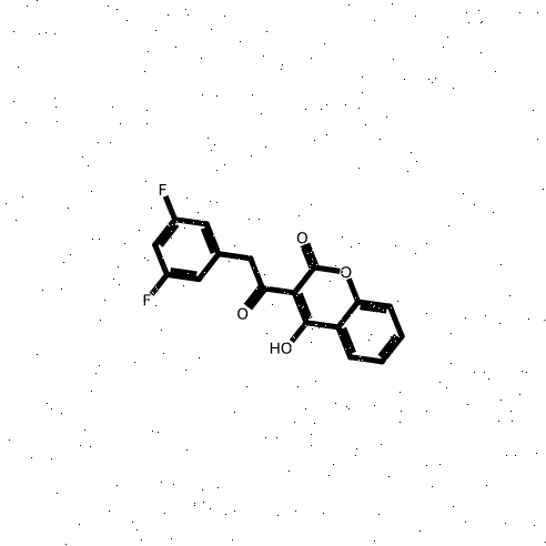 O=C(Cc1cc(F)cc(F)c1)c1c(O)c2ccccc2oc1=O